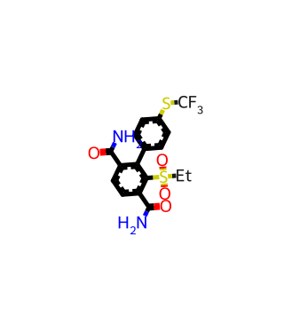 CCS(=O)(=O)c1c(C(N)=O)ccc(C(N)=O)c1-c1ccc(SC(F)(F)F)cc1